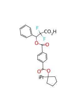 CC(C)C1(OC(=O)c2ccc(C(=O)OC(c3ccccc3)C(F)(F)C(=O)O)cc2)CCCC1